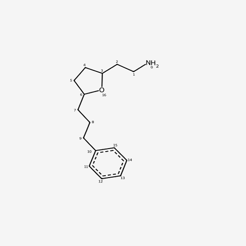 NCCC1CCC(CCCc2ccccc2)O1